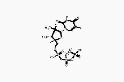 CC1(F)[C@@H](O)[C@@](F)(COP(=O)(O)OP(=O)(O)OP(=O)(O)O)O[C@H]1n1cc(F)c(=S)[nH]c1=O